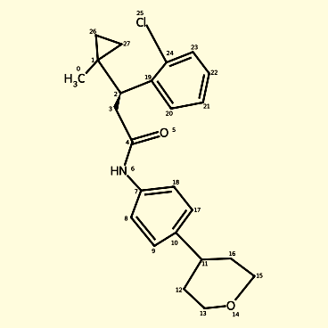 CC1([C@H](CC(=O)Nc2ccc(C3CCOCC3)cc2)c2ccccc2Cl)CC1